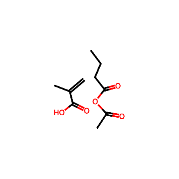 C=C(C)C(=O)O.CCCC(=O)OC(C)=O